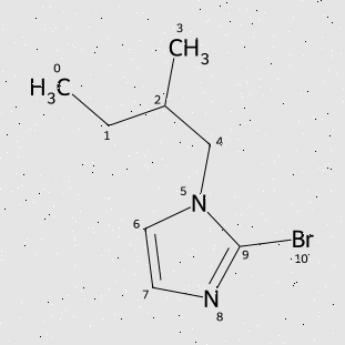 CCC(C)Cn1ccnc1Br